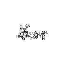 CC1(O)CN(S(=O)(=O)c2ccc(Nc3nn([C@@H](CC#N)C4CC4)c4cc[nH]c(=O)c34)cc2)C1